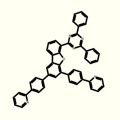 c1ccc(-c2nc(-c3ccccc3)nc(-c3cccc4c3oc3c(-c5ccc(-c6ccccn6)cc5)cc(-c5ccc(-c6ccccn6)cc5)cc34)n2)cc1